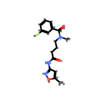 CCCN(CCCC(=O)Nc1cc(C)on1)C(=O)c1cccc(F)c1